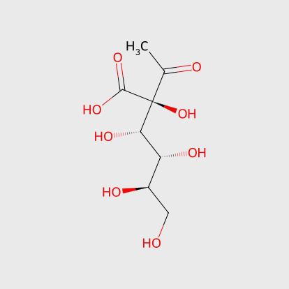 CC(=O)[C@@](O)(C(=O)O)[C@@H](O)[C@H](O)[C@H](O)CO